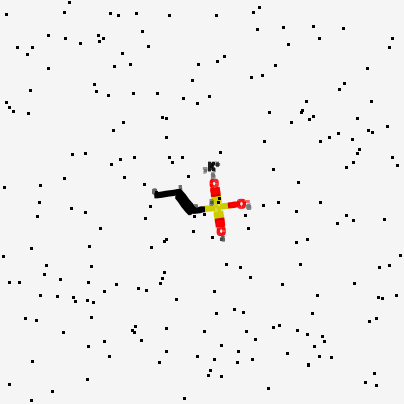 CC=CS(=O)(=O)[O-].[K+]